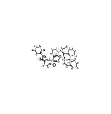 c1ccc(-c2ccc3ccccc3c2N(c2ccc3ccccc3c2)c2ccc3c(c2)oc2ccc4c(c23)SC(c2ccccc2)N4)cc1